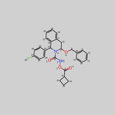 O=C(ONC(=O)N1C(OCc2ccccc2)Cc2ccccc2C1c1ccc(F)cc1)C1CCC1